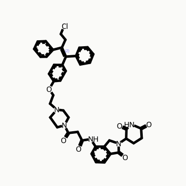 O=C1CCC(N2Cc3c(NC(=O)CC(=O)N4CCN(CCOc5ccc(/C(=C(/CCCl)c6ccccc6)c6ccccc6)cc5)CC4)cccc3C2=O)C(=O)N1